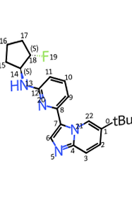 CC(C)(C)c1ccc2ncc(-c3cccc(N[C@H]4CCC[C@@H]4F)n3)n2c1